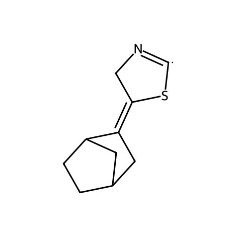 [C]1=NCC(=C2CC3CCC2C3)S1